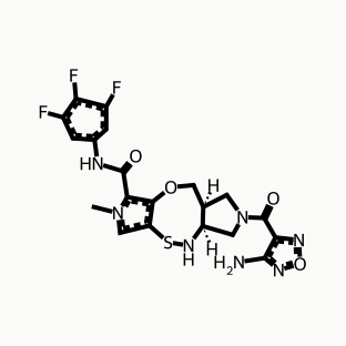 Cn1cc2c(c1C(=O)Nc1cc(F)c(F)c(F)c1)OC[C@H]1CN(C(=O)c3nonc3N)C[C@H]1NS2